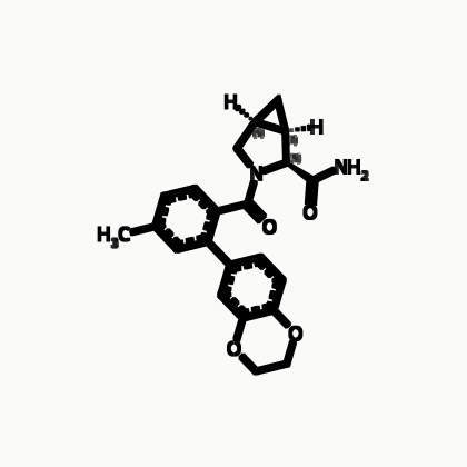 Cc1ccc(C(=O)N2C[C@H]3C[C@H]3[C@H]2C(N)=O)c(-c2ccc3c(c2)OCCO3)c1